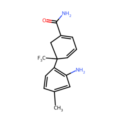 Cc1ccc(C2(C(F)(F)F)C=CC=C(C(N)=O)C2)c(N)c1